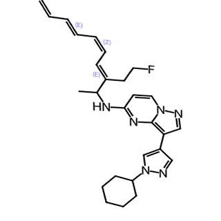 C=C/C=C/C=C\C=C(/CCF)C(C)Nc1ccn2ncc(-c3cnn(C4CCCCC4)c3)c2n1